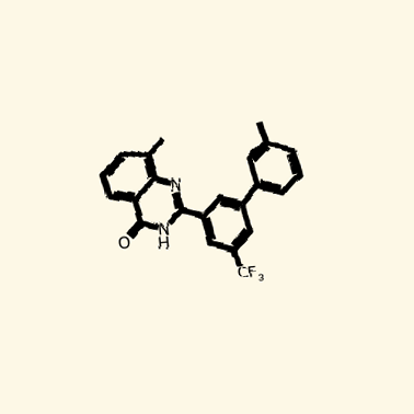 Cc1cccc(-c2cc(-c3nc4c(C)cccc4c(=O)[nH]3)cc(C(F)(F)F)c2)c1